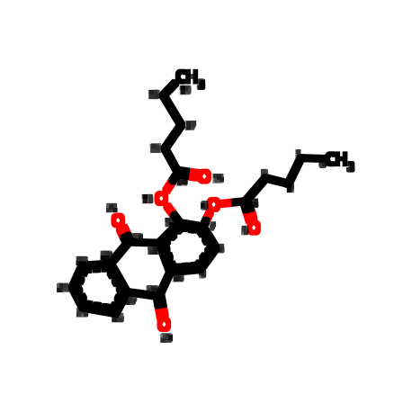 CCCCC(=O)Oc1ccc2c(c1OC(=O)CCCC)C(=O)c1ccccc1C2=O